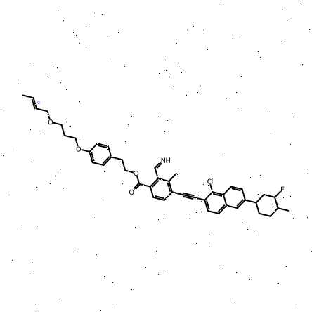 C/C=C/COCCCOc1ccc(CCOC(=O)c2ccc(C#Cc3ccc4cc(C5CCC(C)C(F)C5)ccc4c3Cl)c(C)c2C=N)cc1